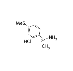 CSc1ccc([C@@H](C)N)cc1.Cl